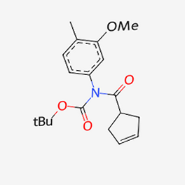 COc1cc(N(C(=O)OC(C)(C)C)C(=O)C2CC=CC2)ccc1C